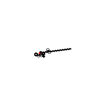 CCCCCCCCCCCCCCCCCCOC(=O)CCc1cc(C(C)(C)C)c(OC(C)OC2CCCCC2)c(C(C)(C)C)c1